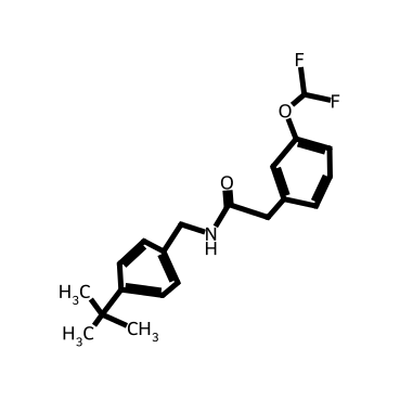 CC(C)(C)c1ccc(CNC(=O)Cc2cccc(OC(F)F)c2)cc1